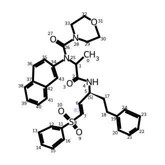 CC(C(=O)N[C@H](/C=C/S(=O)(=O)c1ccccc1)CCc1ccccc1)N(C(=O)N1CCOCC1)c1ccc2ccccc2c1